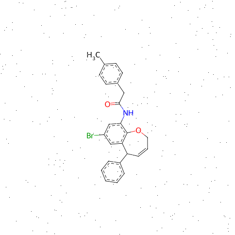 Cc1ccc(CC(=O)Nc2cc(Br)cc3c2OCC=CC3c2ccccc2)cc1